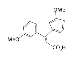 COc1cccc(C(=CC(=O)O)c2cccc(OC)c2)c1